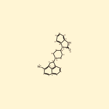 N#Cc1ccc2cccc3c2c1CC3N1CCC(n2c(=O)[nH]c3ccccc32)CC1